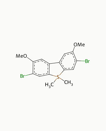 COc1cc2c(cc1Br)S(C)(C)c1cc(Br)c(OC)cc1-2